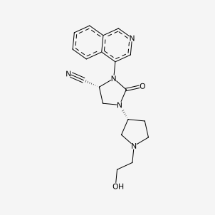 N#C[C@H]1CN([C@@H]2CCN(CCO)C2)C(=O)N1c1cncc2ccccc12